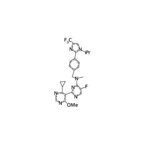 COc1ncnc(C2CC2)c1-c1ncc(F)c(N(C)Cc2ccc(-c3nc(C(F)(F)F)cn3C(C)C)cc2)n1